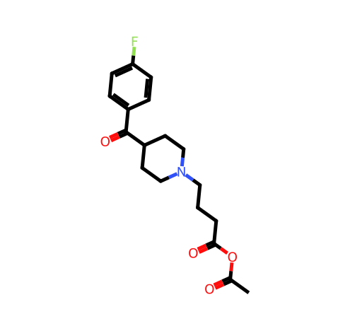 CC(=O)OC(=O)CCCN1CCC(C(=O)c2ccc(F)cc2)CC1